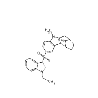 CCN1CC(S(=O)(=O)c2ccc3c(c2)c2c(n3C)CC3CCC2N3)c2ccccc21